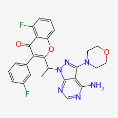 CC(c1oc2cccc(F)c2c(=O)c1-c1cccc(F)c1)n1nc(N2CCOCC2)c2c(N)ncnc21